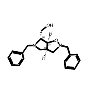 OC[C@@H]1[C@H]2ON(Cc3ccccc3)C[C@H]2CN1Cc1ccccc1